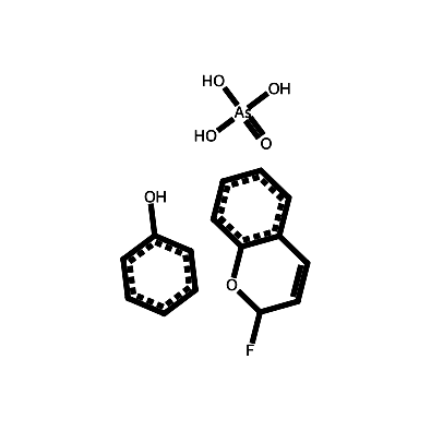 FC1C=Cc2ccccc2O1.O=[As](O)(O)O.Oc1ccccc1